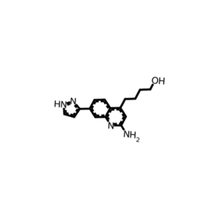 Nc1cc(CCCCO)c2ccc(-c3cc[nH]n3)cc2n1